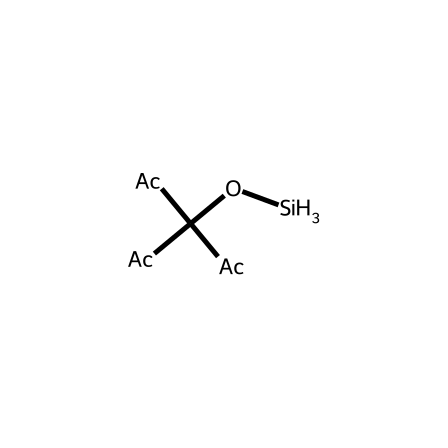 CC(=O)C(O[SiH3])(C(C)=O)C(C)=O